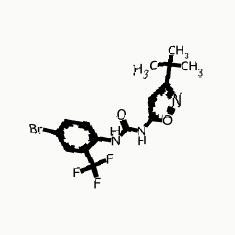 CC(C)(C)c1cc(NC(=O)Nc2ccc(Br)cc2C(F)(F)F)on1